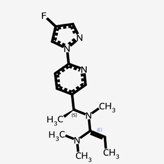 C/C=C(\N(C)C)N(C)[C@@H](C)c1ccc(-n2cc(F)cn2)nc1